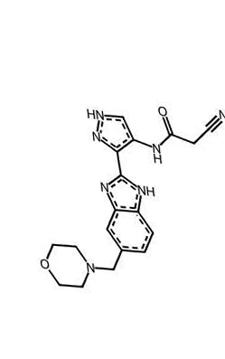 N#CCC(=O)Nc1c[nH]nc1-c1nc2cc(CN3CCOCC3)ccc2[nH]1